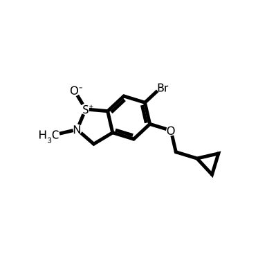 CN1Cc2cc(OCC3CC3)c(Br)cc2[S+]1[O-]